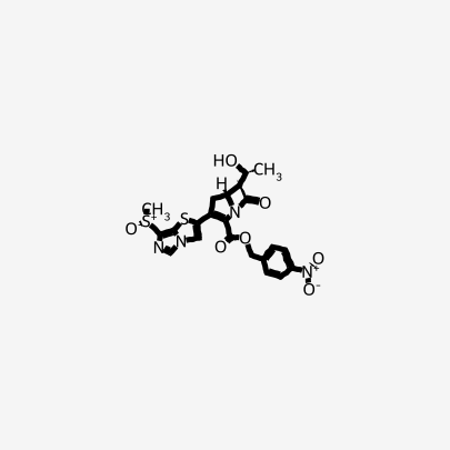 C[C@@H](O)[C@H]1C(=O)N2C(C(=O)OCc3ccc([N+](=O)[O-])cc3)=C(c3cn4cnc([S+](C)[O-])c4s3)C[C@H]12